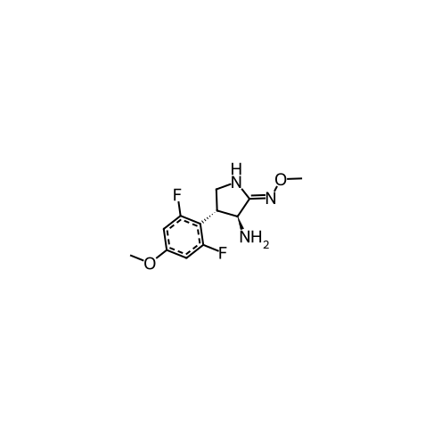 CO/N=C1\NC[C@@H](c2c(F)cc(OC)cc2F)[C@@H]1N